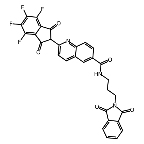 O=C(NCCCN1C(=O)c2ccccc2C1=O)c1ccc2nc(C3C(=O)c4c(F)c(F)c(F)c(F)c4C3=O)ccc2c1